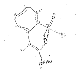 CCCCCCC=C(C)c1cccnc1S(N)(=O)=O